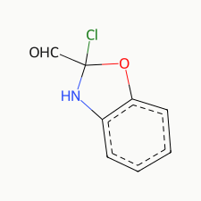 O=CC1(Cl)Nc2ccccc2O1